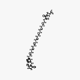 CN(C)C1CN(C(=O)NCCOCCOCCOCCOCCOCCOCCOCCn2cc(CN3C(=O)C=CC3=O)nn2)C1